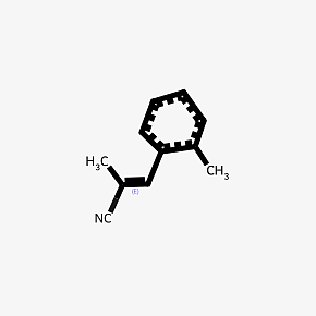 C/C(C#N)=C\c1ccccc1C